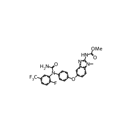 COC(=O)Nc1nc2cc(Oc3ccc(N(C(N)=O)c4cc(C(F)(F)F)ccc4F)cc3)ccc2n1C